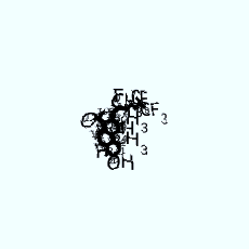 C[C@H](CCCC(F)(C(F)(F)F)C(F)(F)F)[C@H]1CC(=O)C2=C3CC[C@H]4C[C@@H](O)CC[C@]4(C)[C@@]3(O)CC[C@@]21C